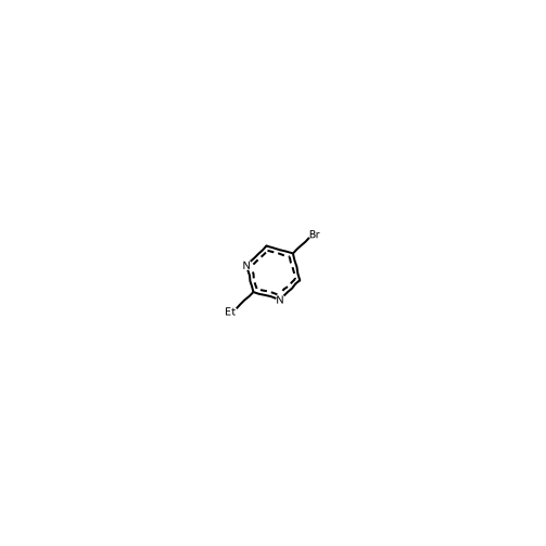 [CH2]Cc1ncc(Br)cn1